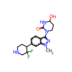 Cn1nc(N2CCC(O)NC2=O)c2ccc(C3CCNCC3(F)F)cc21